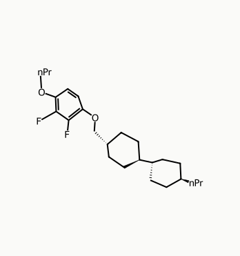 CCCOc1ccc(OC[C@H]2CC[C@H]([C@H]3CC[C@H](CCC)CC3)CC2)c(F)c1F